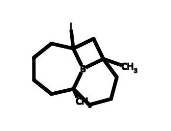 CC12CCCCC3(I)CC(C)(CCC1)B23